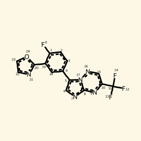 Fc1ccc(-c2cnc3nc(C(F)(F)F)cnn23)cc1-c1ncco1